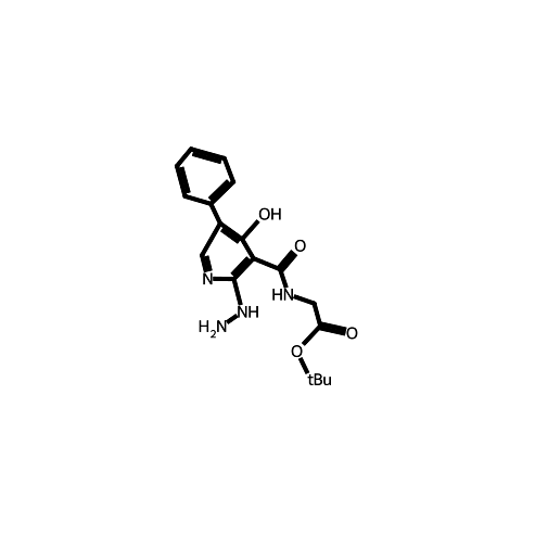 CC(C)(C)OC(=O)CNC(=O)c1c(NN)ncc(-c2ccccc2)c1O